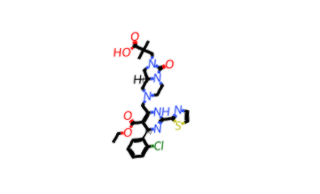 CCOC(=O)C1=C(CN2CCN3C(=O)N(CC(C)(C)C(=O)O)C[C@@H]3C2)NC(c2nccs2)=N[C@H]1c1ccccc1Cl